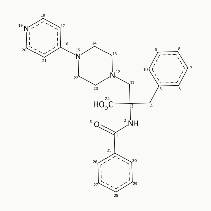 O=C(NC(Cc1ccccc1)(CN1CCN(c2ccncc2)CC1)C(=O)O)c1ccccc1